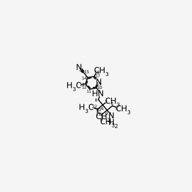 CCC(N)(CC)C(C)(CNc1cc(C)c(C#N)c(C)n1)C(C)C